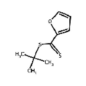 CC(C)(C)SC(=S)c1ccco1